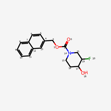 O=C(OCc1ccc2ccccc2c1)N1CCC(O)C(F)C1